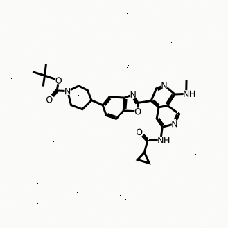 CNc1ncc(-c2nc3cc(C4CCN(C(=O)OC(C)(C)C)CC4)ccc3o2)c2cc(NC(=O)C3CC3)ncc12